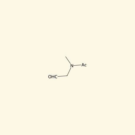 CC(=O)N(C)CC=O